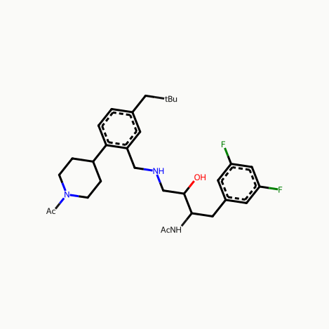 CC(=O)NC(Cc1cc(F)cc(F)c1)C(O)CNCc1cc(CC(C)(C)C)ccc1C1CCN(C(C)=O)CC1